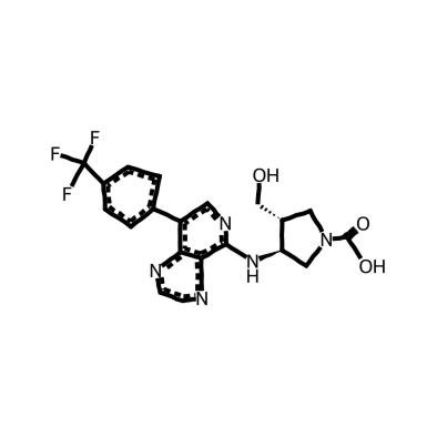 O=C(O)N1C[C@@H](CO)[C@H](Nc2ncc(-c3ccc(C(F)(F)F)cc3)c3nccnc23)C1